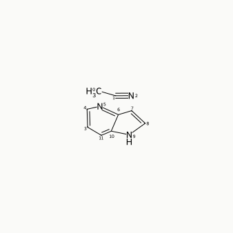 CC#N.c1cnc2cc[nH]c2c1